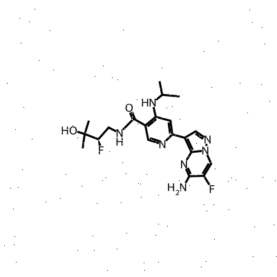 CC(C)Nc1cc(-c2cnn3cc(F)c(N)nc23)ncc1C(=O)NC[C@@H](F)C(C)(C)O